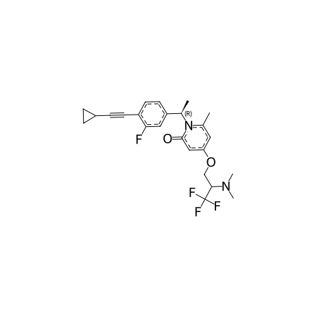 Cc1cc(OCC(N(C)C)C(F)(F)F)cc(=O)n1[C@H](C)c1ccc(C#CC2CC2)c(F)c1